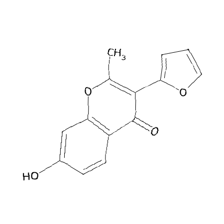 Cc1oc2cc(O)ccc2c(=O)c1-c1ccco1